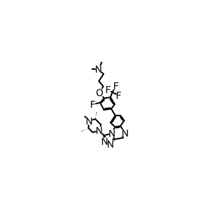 C[C@@H]1CN(c2nnc3cnc4ccc(-c5cc(F)c(OCCCN(C)C)c(C(F)(F)F)c5)cc4n23)C[C@H](C)N1C